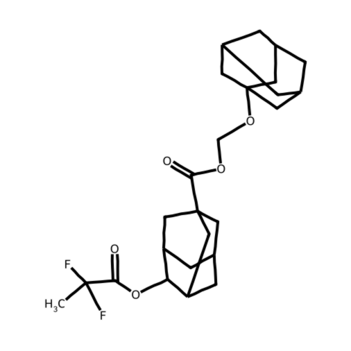 CC(F)(F)C(=O)OC1C2CC3CC1CC(C(=O)OCOC14CC5CC(CC(C5)C1)C4)(C3)C2